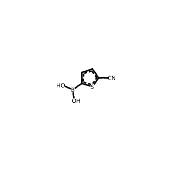 N#Cc1ccc(B(O)O)s1